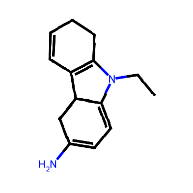 CCN1C2=CC=C(N)CC2C2=C1CCC=C2